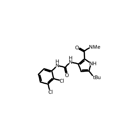 CNC(=O)c1[nH]c(C(C)(C)C)cc1NC(=O)Nc1cccc(Cl)c1Cl